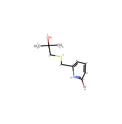 CC(C)(O)CSCc1cccc(Br)n1